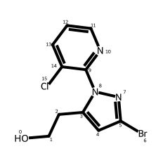 OCCc1cc(Br)nn1-c1ncccc1Cl